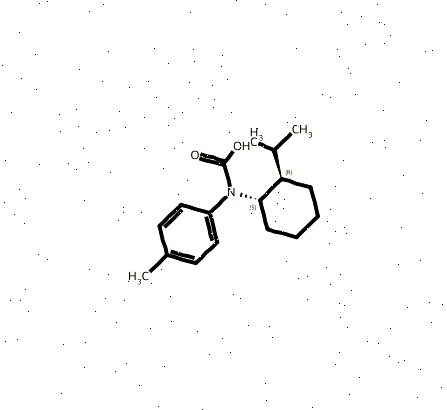 Cc1ccc(N(C(=O)O)[C@H]2CCCC[C@@H]2C(C)C)cc1